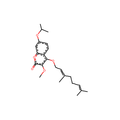 COc1c(OC/C=C(\C)CCC=C(C)C)c2ccc(OC(C)C)cc2oc1=O